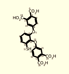 O=C(O)c1ccc(Oc2cccc(S)c2Oc2ccc(C(=O)O)c(C(=O)O)c2)cc1C(=O)O